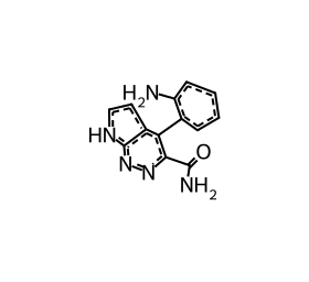 NC(=O)c1nnc2[nH]ccc2c1-c1ccccc1N